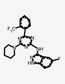 Fc1ccc2[nH]nc(Nc3nc(-c4ccccc4C(F)(F)F)nc(N4CCCCC4)n3)c2c1